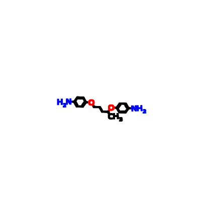 CC(CCCOc1ccc(N)cc1)Oc1ccc(N)cc1